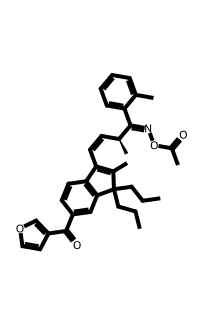 CCCC1(CCC)C(C)=C(/C=C\[C@H](C)/C(=N\OC(C)=O)c2ccccc2C)c2ccc(C(=O)c3ccoc3)cc21